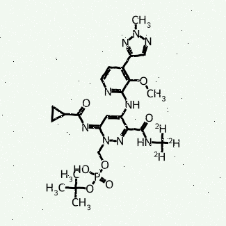 [2H]C([2H])([2H])NC(=O)c1nn(COP(=O)(O)OC(C)(C)C)c(=NC(=O)C2CC2)cc1Nc1nccc(-c2cnn(C)n2)c1OC